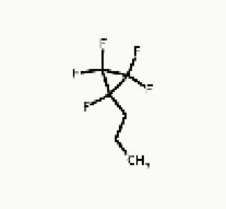 CCCC1(F)C(F)(F)C1(F)F